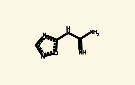 N=C(N)Nc1ncno1